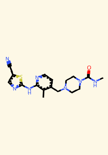 CNC(=O)N1CCN(Cc2ccnc(Nc3ncc(C#N)s3)c2C)CC1